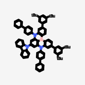 CC(C)(C)c1cc(-c2ccc3c(c2)N(c2ccc(C4=CC=C=C=C4)cc2)c2cc(-n4c5ccccc5c5ccccc54)cc4c2B3c2ccc(-c3cc(C(C)(C)C)cc(C(C)(C)C)c3)cc2N4c2ccc(-c3ccccc3)cc2)cc(C(C)(C)C)c1